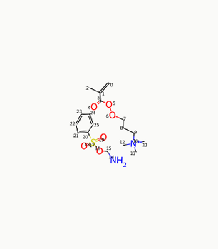 C=C(C)C(=O)OOCCC[N+](C)(C)C.NCOS(=O)(=O)c1ccccc1